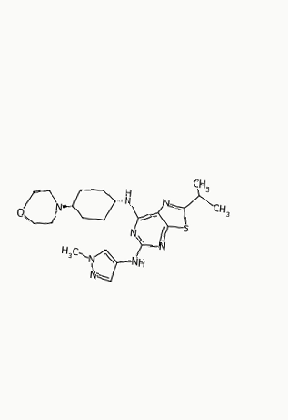 CC(C)c1nc2c(N[C@H]3CC[C@H](N4CCOCC4)CC3)nc(Nc3cnn(C)c3)nc2s1